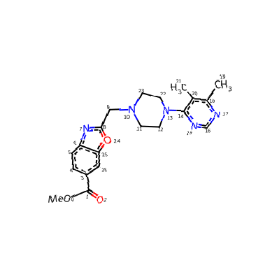 COC(=O)c1ccc2nc(CN3CCN(c4ncnc(C)c4C)CC3)oc2c1